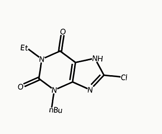 CCCCn1c(=O)n(CC)c(=O)c2[nH]c(Cl)nc21